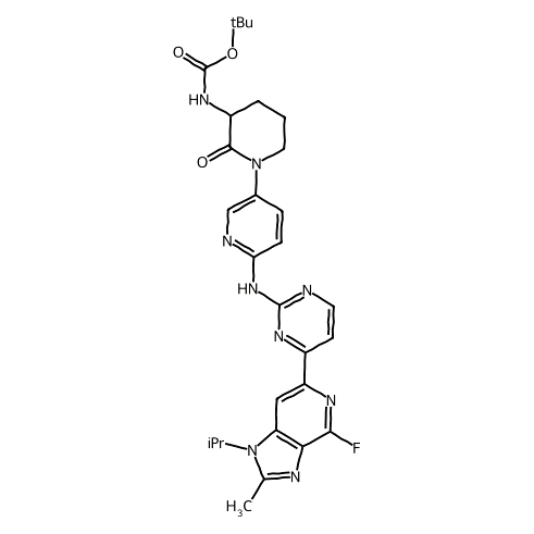 Cc1nc2c(F)nc(-c3ccnc(Nc4ccc(N5CCCC(NC(=O)OC(C)(C)C)C5=O)cn4)n3)cc2n1C(C)C